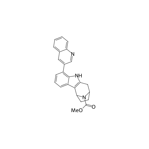 COC(=O)N1C2CCC1c1c([nH]c3c(-c4cnc5ccccc5c4)cccc13)C2